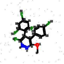 COc1nnc(F)c(-c2c(F)cc(F)cc2F)c1-c1ccc(F)cc1